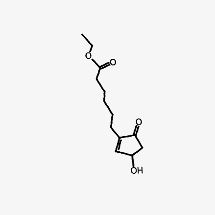 CCOC(=O)CCCCCC1=CC(O)CC1=O